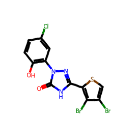 O=c1[nH]c(-c2scc(Br)c2Br)nn1-c1cc(Cl)ccc1O